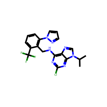 CC(C)n1cnc2c(NCc3c(-n4cccn4)cccc3C(F)(F)F)nc(Cl)nc21